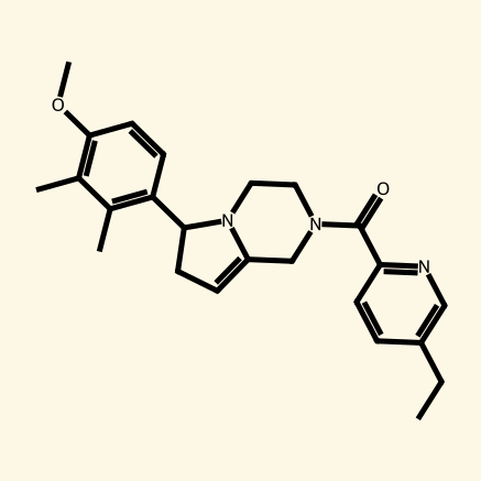 CCc1ccc(C(=O)N2CCN3C(=CCC3c3ccc(OC)c(C)c3C)C2)nc1